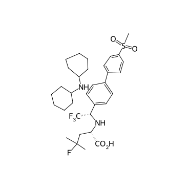 C1CCC(NC2CCCCC2)CC1.CC(C)(F)C[C@H](N[C@@H](c1ccc(-c2ccc(S(C)(=O)=O)cc2)cc1)C(F)(F)F)C(=O)O